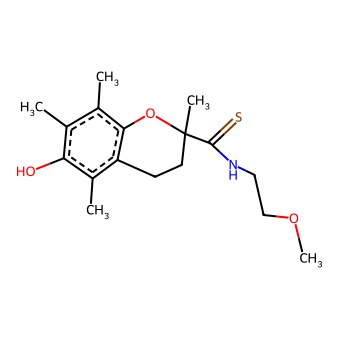 COCCNC(=S)C1(C)CCc2c(C)c(O)c(C)c(C)c2O1